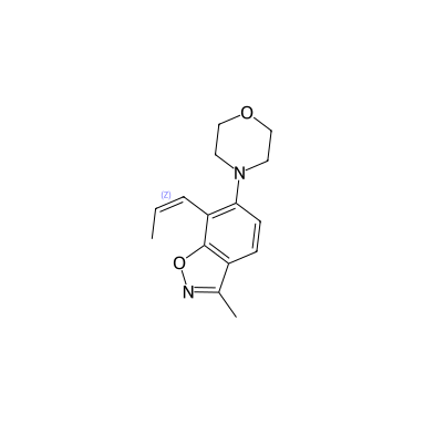 C/C=C\c1c(N2CCOCC2)ccc2c(C)noc12